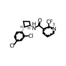 O=C(N[C@H]1CC[C@H]1c1ccc(Cl)cc1Cl)c1cccnc1C(F)(F)F